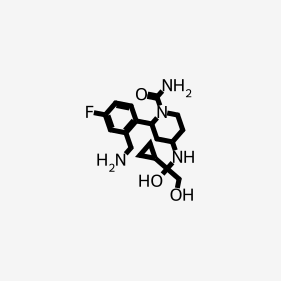 NCc1cc(F)ccc1C1CC(NC(O)(CO)C2CC2)CCN1C(N)=O